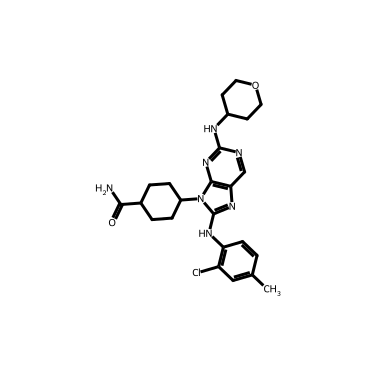 Cc1ccc(Nc2nc3cnc(NC4CCOCC4)nc3n2C2CCC(C(N)=O)CC2)c(Cl)c1